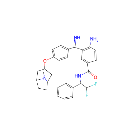 CN1C2CCC1CC(Oc1ccc(C(=N)c3cc(C(=O)NC(c4ccccc4)C(F)F)ccc3N)cc1)C2